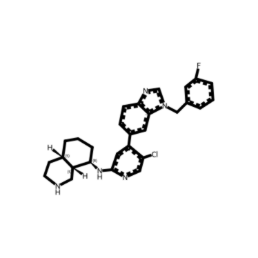 Fc1cccc(Cn2cnc3ccc(-c4cc(N[C@@H]5CCC[C@H]6CCNC[C@H]65)ncc4Cl)cc32)c1